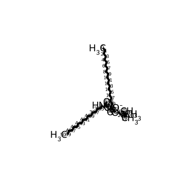 CCCCCCCCCCCCCCCCCCC(COP(=O)([O-])OCC[N+](C)(C)C)OC(=O)NCCCCCCCCCCCCCCCC